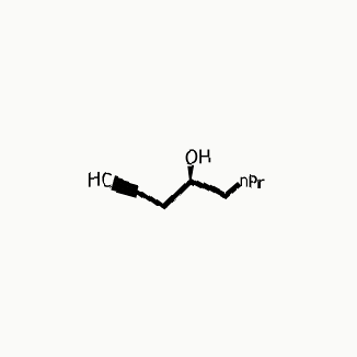 C#CC[C@@H](O)CCCC